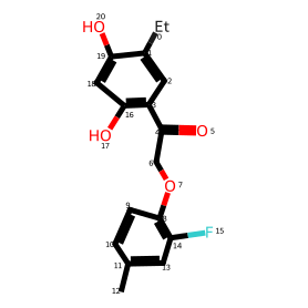 CCc1cc(C(=O)COc2ccc(C)cc2F)c(O)cc1O